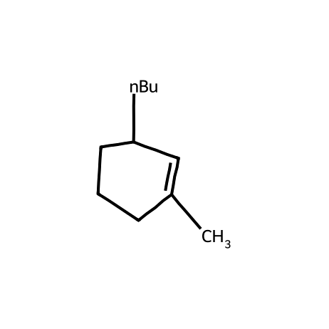 CCCCC1C=C(C)CCC1